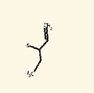 C=CC([S])CC